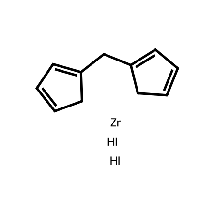 C1=CCC(CC2=CC=CC2)=C1.I.I.[Zr]